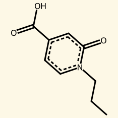 CCCn1ccc(C(=O)O)cc1=O